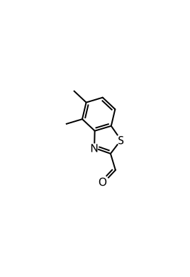 Cc1ccc2sc(C=O)nc2c1C